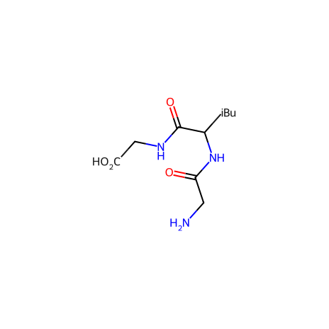 CCC(C)C(NC(=O)CN)C(=O)NCC(=O)O